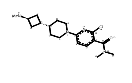 CN[C@H]1C[C@H](C2CCN(c3ccc(C(=O)N(C)C)c(Cl)n3)CC2)C1